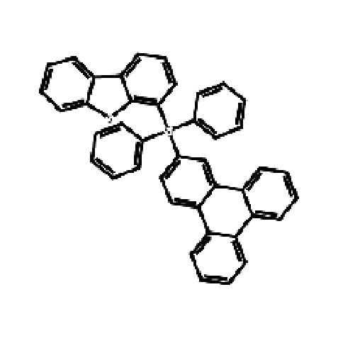 c1ccc([Si](c2ccccc2)(c2ccc3c4ccccc4c4ccccc4c3c2)c2cccc3c2sc2ccccc23)cc1